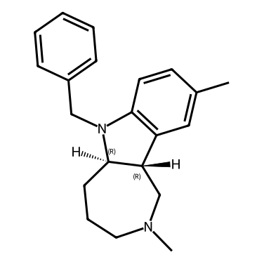 Cc1ccc2c(c1)[C@@H]1CN(C)CCC[C@H]1N2Cc1ccccc1